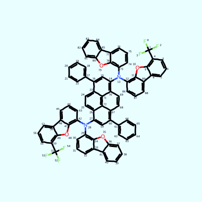 FC(F)(F)c1cccc2c1oc1c(N(c3cc(-c4ccccc4)c4ccc5c(N(c6cccc7c6oc6ccccc67)c6cccc7c6oc6c(C(F)(F)F)cccc67)cc(-c6ccccc6)c6ccc3c4c65)c3cccc4c3oc3ccccc34)cccc12